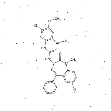 COc1cc(OC)c(NC(=S)NC2N=C(c3ccccc3)c3cc(Cl)ccc3N(C)C2=O)cc1Cl